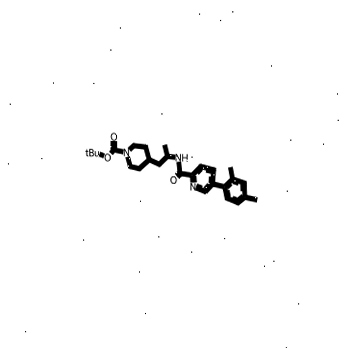 Cc1ccc(-c2ccc(C(=O)NC(C)CC3CCN(C(=O)OC(C)(C)C)CC3)nc2)c(C)c1